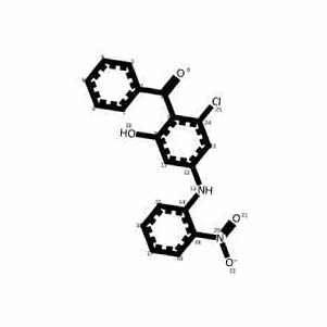 O=C(c1ccccc1)c1c(O)cc(Nc2ccccc2[N+](=O)[O-])cc1Cl